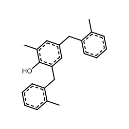 [CH2]c1cc(Cc2ccccc2C)cc(Cc2ccccc2C)c1O